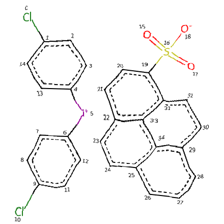 Clc1ccc([I+]c2ccc(Cl)cc2)cc1.O=S(=O)([O-])c1ccc2ccc3cccc4ccc1c2c34